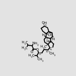 CC(C)C(N)C(=O)O[C@@H](CC[C@@H](C)[C@H]1CC[C@H]2[C@@H]3CC=C4C[C@@H](O)CC[C@]4(C)[C@H]3CC[C@]12C)C(C)C